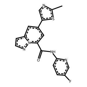 Cc1ncc(-c2cc(C(=O)Nc3ccc(F)cn3)n3nccc3c2)s1